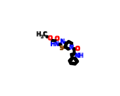 CCOCC(=O)Nc1nc2c(s1)CN(C(=O)c1cc3ccccc3[nH]1)CC2